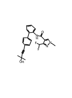 Cn1cc(C(=O)Nc2ccccc2-c2ccc(C#CC(C)(C)O)cc2)c(C(F)F)n1